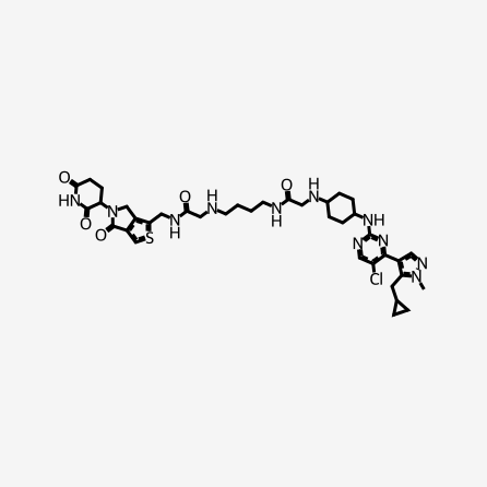 Cn1ncc(-c2nc(NC3CCC(NCC(=O)NCCCCNCC(=O)NCc4scc5c4CN(C4CCC(=O)NC4=O)C5=O)CC3)ncc2Cl)c1CC1CC1